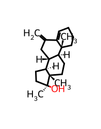 C=C1C[C@@H]2[C@H](CC[C@@]3(C)[C@H]2CC[C@]3(C)O)[C@@]2(C)CCCC=C12